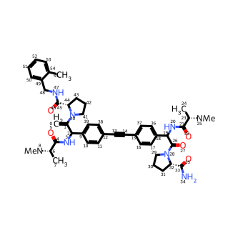 C=C(C(NC(=O)[C@H](C)NC)c1ccc(C#Cc2ccc(C(NC(=O)[C@H](C)NC)C(=O)N3CCC[C@H]3C(N)=O)cc2)cc1)N1CCC[C@H]1C(=O)NCc1ccccc1C